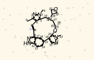 Cc1nn(C)c2c1/C=C/c1n[nH]c3ccc(cc13)-c1cnn(C)c1O[C@@H](C)CN(C1COC1)C2